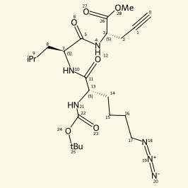 C#CC[C@H](NC(=O)[C@H](CC(C)C)NC(=O)[C@H](CCCCN=[N+]=[N-])NC(=O)OC(C)(C)C)C(=O)OC